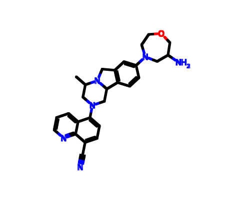 CC1CN(c2ccc(C#N)c3ncccc23)CC2c3ccc(N4CCOCC(N)C4)cc3CN12